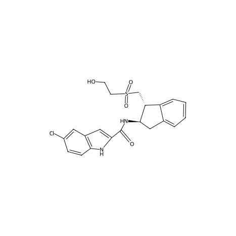 O=C(N[C@@H]1Cc2ccccc2[C@H]1CS(=O)(=O)CCO)c1cc2cc(Cl)ccc2[nH]1